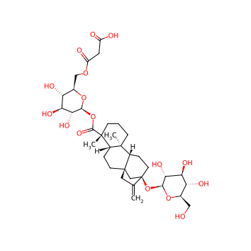 C=C1C[C@@]23CC[C@H]4[C@@](C)(CCC[C@@]4(C)C(=O)O[C@@H]4O[C@H](COC(=O)CC(=O)O)[C@@H](O)[C@H](O)[C@H]4O)[C@@H]2CC[C@@]1(O[C@@H]1O[C@H](CO)[C@@H](O)[C@H](O)[C@H]1O)C3